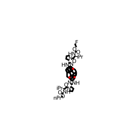 CCCOC(=O)N[C@H](C(=O)N1CCC[C@H]1c1nc2cc(-c3cc4ccc3CCc3ccc(c(-c5ccc6[nH]c([C@@H]7CCCN7C(=O)[C@@H](NC(=O)OCCF)C(C)C)nc6c5)c3)CC4)ccc2[nH]1)C(C)C